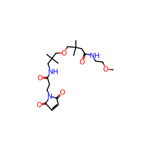 COCCNC(=O)CC(C)(C)COCC(C)(C)CNC(=O)CCN1C(=O)C=CC1=O